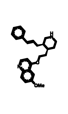 COc1ccc2nccc(OCC[C@@H]3CCNC[C@@H]3CC=Cc3ccccc3)c2c1